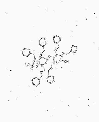 O=S(=O)(O[C@@H]1[C@H](OCc2ccccc2)[C@@H](OCc2ccccc2)[C@H](O[C@H]2[C@H](OCc3ccccc3)[C@@H](OCc3ccccc3)[C@@H](O)O[C@@H]2COCc2ccccc2)O[C@@H]1COCc1ccccc1)C(F)(F)F